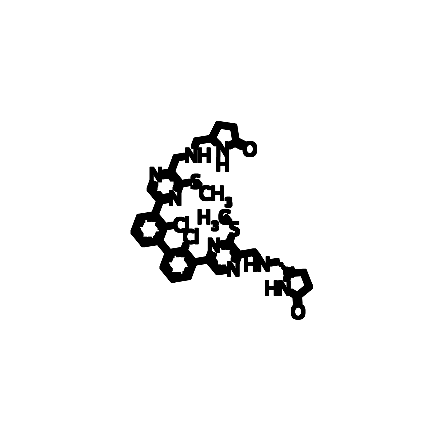 CSc1nc(-c2cccc(-c3cccc(-c4cnc(CNC[C@@H]5CCC(=O)N5)c(SC)n4)c3Cl)c2Cl)cnc1CNCC1CCC(=O)N1